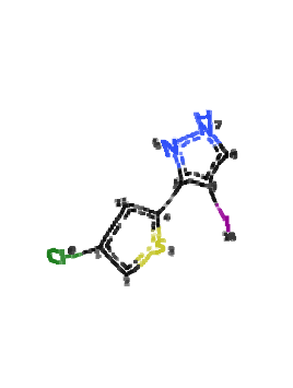 Clc1csc(-c2n[nH]cc2I)c1